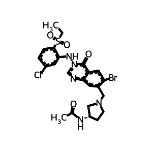 CCS(=O)(=O)c1ccc(Cl)cc1Nn1cnc2cc(CN3CC[C@H](NC(C)=O)C3)c(Br)cc2c1=O